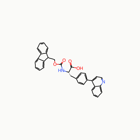 O=C(N[C@@H](Cc1ccc(-c2ccnc3ccccc23)cc1)C(=O)O)OCC1c2ccccc2-c2ccccc21